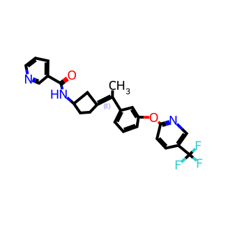 C/C(=C1/CCC(NC(=O)c2cccnc2)C1)c1cccc(Oc2ccc(C(F)(F)F)cn2)c1